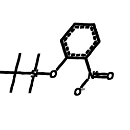 CC(C)(C)[Si](C)(C)Oc1ccccc1[N+](=O)[O-]